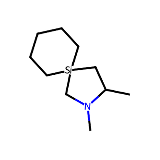 CC1C[Si]2(CCCCC2)CN1C